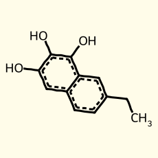 CCc1ccc2cc(O)c(O)c(O)c2c1